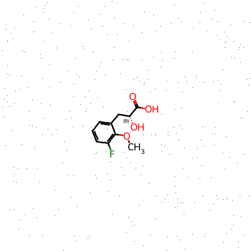 COc1c(F)cccc1C[C@@H](O)C(=O)O